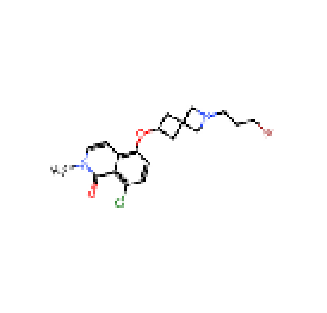 Cn1ccc2c(OC3CC4(C3)CN(CCCBr)C4)ccc(Cl)c2c1=O